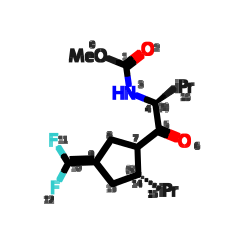 COC(=O)N[C@H](C(=O)C1CC(=C(F)F)C[C@H]1C(C)C)C(C)C